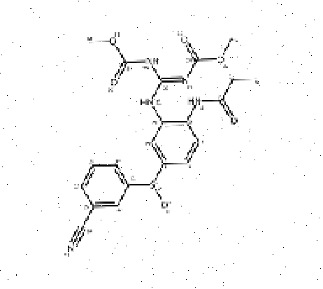 CCC(=O)Nc1ccc([S+]([O-])c2cccc(C#N)c2)cc1NC(=NC(=O)OC)NC(=O)OC